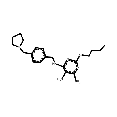 CCCCOc1nc(N)c(N)c(NCc2ccc(CN3CCCC3)cc2)n1